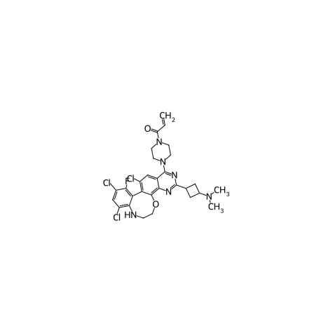 C=CC(=O)N1CCN(c2nc(C3CC(N(C)C)C3)nc3c4c(c(Cl)cc23)-c2c(F)c(Cl)cc(Cl)c2NCCO4)CC1